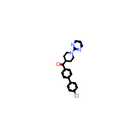 O=C(c1ccc(-c2ccc(Cl)cc2)cc1)C1CCN(c2ncccn2)CC1